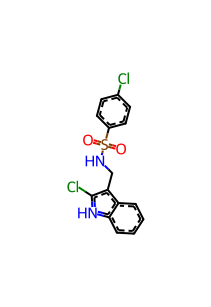 O=S(=O)(NCc1c(Cl)[nH]c2ccccc12)c1ccc(Cl)cc1